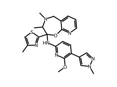 COc1nc(NC2(c3nc(C)cs3)Oc3ncccc3CN(C)C2C)ccc1-c1cnn(C)c1